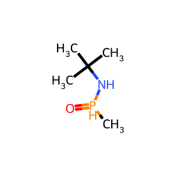 C[PH](=O)NC(C)(C)C